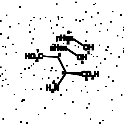 CCCCCCO.CCCCCCO.N[C@@H](CC(=O)O)C(=O)O